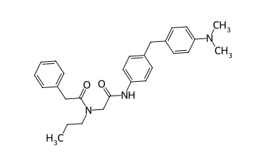 CCCN(CC(=O)Nc1ccc(Cc2ccc(N(C)C)cc2)cc1)C(=O)Cc1ccccc1